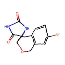 O=C1NC(=O)C2(COCc3cc(Br)ccc32)N1